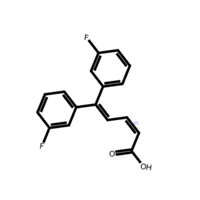 O=C(O)/C=C\C=C(c1cccc(F)c1)c1cccc(F)c1